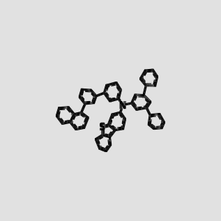 c1ccc(-c2cc(-c3ccccc3)cc(N(c3cccc(-c4cccc(-c5cccc6ccccc56)c4)c3)c3ccc4c(c3)sc3ccccc34)c2)cc1